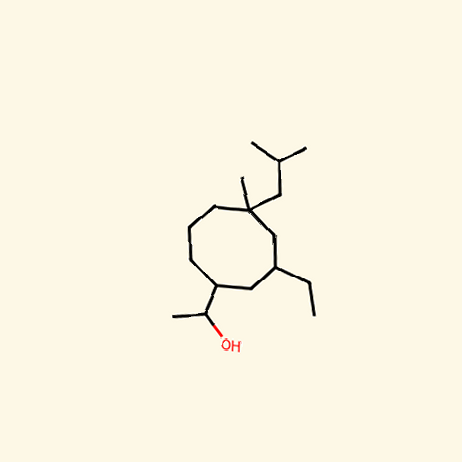 CCC1CC(C(C)O)CCCC(C)(CC(C)C)C1